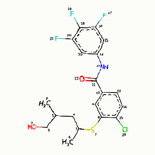 CC(CO)CC(C)Sc1cc(C(=O)Nc2cc(F)c(F)c(F)c2)ccc1Cl